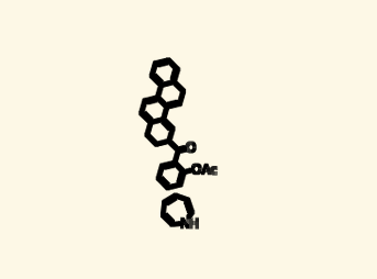 C1=CC=CNC=C1.CC(=O)Oc1ccccc1C(=O)C1C=c2c(ccc3c2=CCc2ccccc2-3)CC1